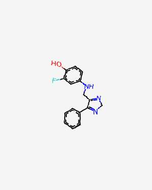 Oc1ccc(NCC2=NCN=C2c2ccccc2)cc1F